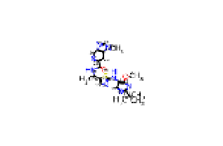 COc1nc(C(C)(C)C)ncc1Nc1ncc(C(C)NC(=O)c2cc3c(cn2)ncn3C)s1